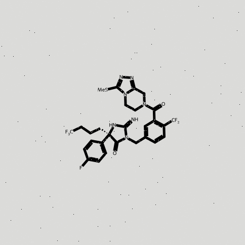 CSc1nnc2n1CCN(C(=O)c1cc(CN3C(=N)N[C@](CCCC(F)(F)F)(c4ccc(F)cc4)C3=O)ccc1C(F)(F)F)C2